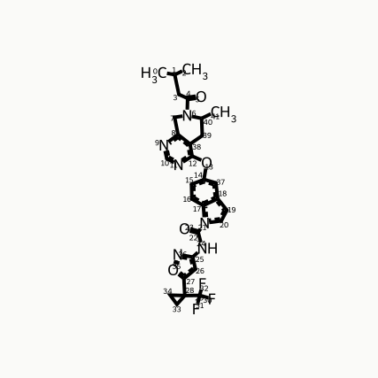 CC(C)CC(=O)N1Cc2ncnc(Oc3ccc4c(ccn4C(=O)Nc4cc(C5(C(F)(F)F)CC5)on4)c3)c2CC1C